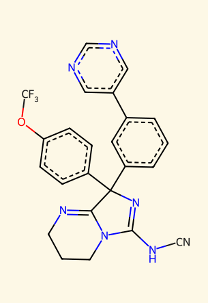 N#CNC1=NC(c2ccc(OC(F)(F)F)cc2)(c2cccc(-c3cncnc3)c2)C2=NCCCN12